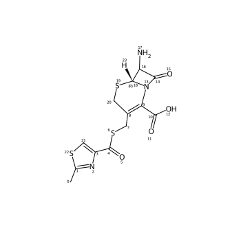 Cc1nc(C(=O)SCC2=C(C(=O)O)N3C(=O)C(N)[C@H]3SC2)cs1